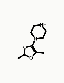 CC1=C(N2CCNCC2)OC(C)O1